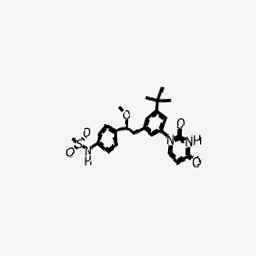 COC(Cc1cc(-n2ccc(=O)[nH]c2=O)cc(C(C)(C)C)c1)c1ccc(NS(C)(=O)=O)cc1